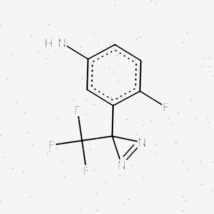 Nc1ccc(F)c(C2(C(F)(F)F)N=N2)c1